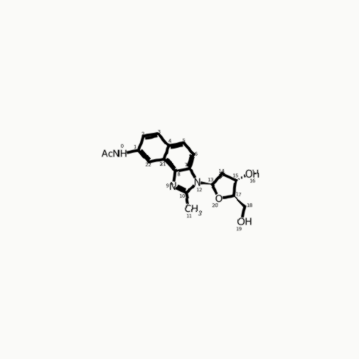 CC(=O)Nc1ccc2ccc3c(nc(C)n3[C@H]3C[C@H](O)[C@@H](CO)O3)c2c1